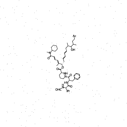 CC(=O)CCC(C)C(O)C(C)C/C=C/C=C/C[C@H](OC(=O)C1CCCN(C(=O)C(Cc2ccccc2)NC(=O)C(NC=O)C(C)C)N1)/C(C)=C/C=C/C(=O)N(C)C1CCCCC1